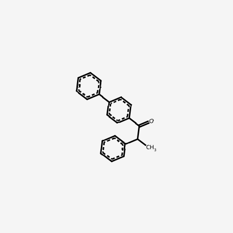 CC(C(=O)c1ccc(-c2ccccc2)cc1)c1ccccc1